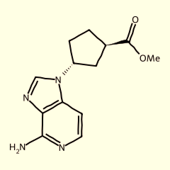 COC(=O)[C@@H]1CC[C@@H](n2cnc3c(N)nccc32)C1